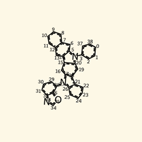 c1ccc(-n2c3cc4ccccc4cc3c3cc4c(cc32)c2ccccc2n4-c2cccc3ncoc23)cc1